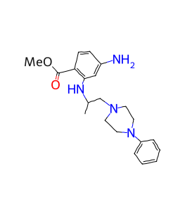 COC(=O)c1ccc(N)cc1NC(C)CN1CCN(c2ccccc2)CC1